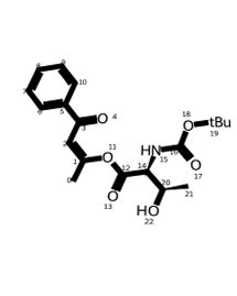 CC(=CC(=O)c1ccccc1)OC(=O)[C@@H](NC(=O)OC(C)(C)C)[C@@H](C)O